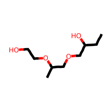 CCC(O)COCC(C)OCCO